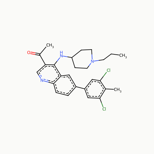 CCCN1CCC(Nc2c(C(C)=O)cnc3ccc(-c4cc(Cl)c(C)c(Cl)c4)cc23)CC1